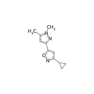 Cc1cc(-c2cc(C3CC3)no2)nn1C